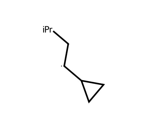 CC(C)C[CH]C1CC1